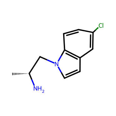 C[C@@H](N)Cn1ccc2cc(Cl)ccc21